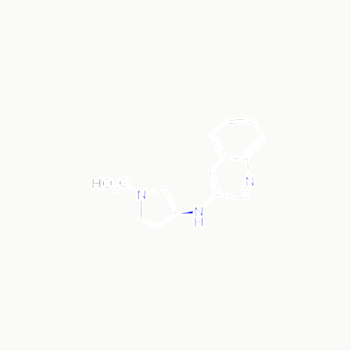 O=C(O)N1CC[C@H](Nc2cnc3ccccc3c2)C1